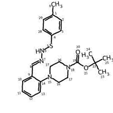 Cc1ccc(SN/N=C/c2ccccc2N2CCN(C(=O)OC(C)(C)C)CC2)cc1